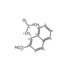 C[S+](C)[O-].O=C(O)c1cnc2ccccc2c1